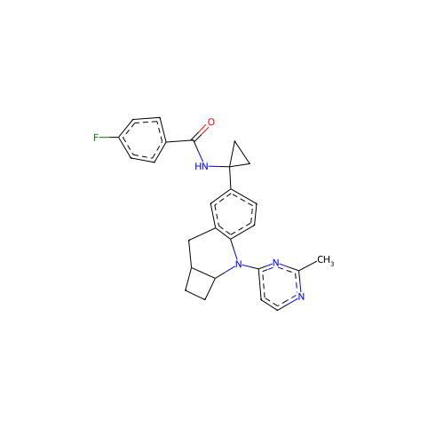 Cc1nccc(N2c3ccc(C4(NC(=O)c5ccc(F)cc5)CC4)cc3CC3CCC32)n1